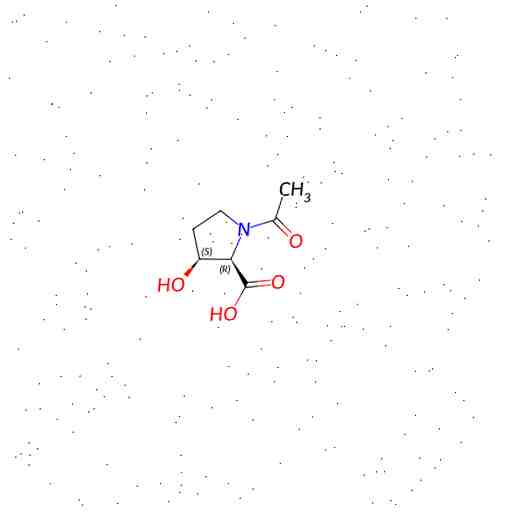 CC(=O)N1CC[C@H](O)[C@@H]1C(=O)O